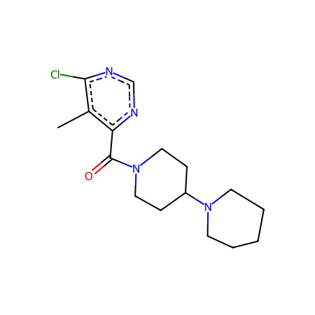 Cc1c(Cl)ncnc1C(=O)N1CCC(N2CCCCC2)CC1